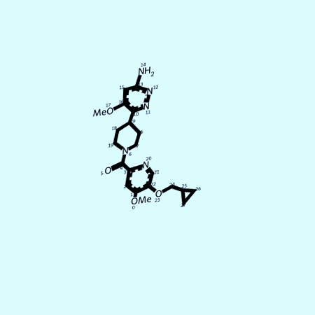 COc1cc(C(=O)N2CCC(c3nnc(N)cc3OC)CC2)ncc1OCC1CC1